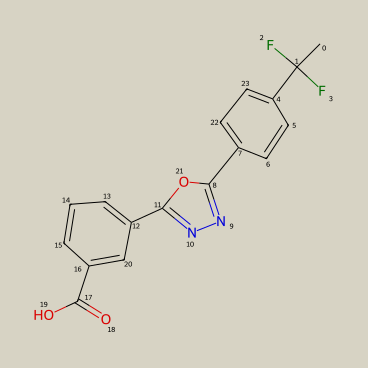 CC(F)(F)c1ccc(-c2nnc(-c3cccc(C(=O)O)c3)o2)cc1